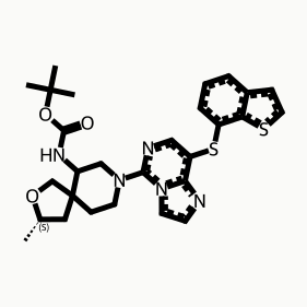 C[C@H]1CC2(CCN(c3ncc(Sc4cccc5ccsc45)c4nccn34)CC2NC(=O)OC(C)(C)C)CO1